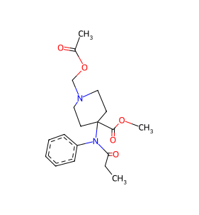 CCC(=O)N(c1ccccc1)C1(C(=O)OC)CCN(COC(C)=O)CC1